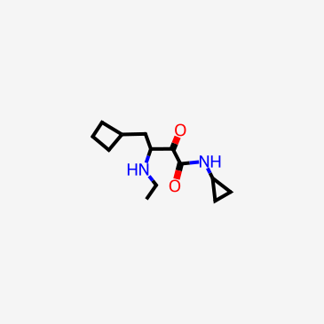 CCNC(CC1CCC1)C(=O)C(=O)NC1CC1